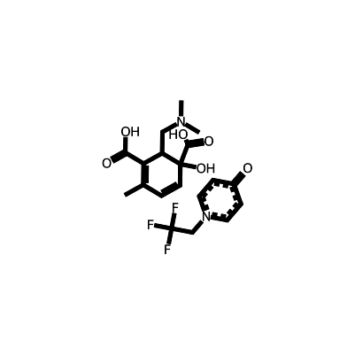 CC1=C(C(=O)O)C(CN(C)C)C(O)(C(=O)O)C=C1.O=c1ccn(CC(F)(F)F)cc1